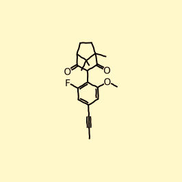 CC#Cc1cc(F)c(C2C(=O)C3CCC(C)(C2=O)C3(C)C)c(OC)c1